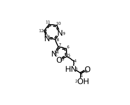 O=C(O)NCc1cc(-c2ncccn2)no1